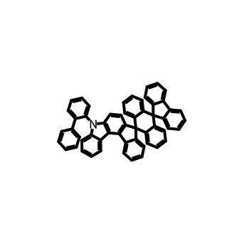 c1ccc(-c2ccccc2-n2c3ccccc3c3c4c(ccc32)C2(c3ccccc3-4)c3ccccc3C3(c4ccccc4-c4ccccc43)c3ccccc32)cc1